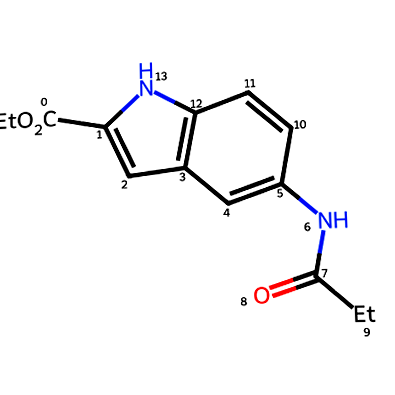 CCOC(=O)c1cc2cc(NC(=O)CC)ccc2[nH]1